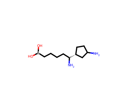 NC1CC[C@@H](C(N)CCCCB(O)O)C1